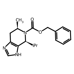 CC(C)[C@H]1c2[nH]cnc2C[C@@H](C)N1C(=O)OCc1ccccc1